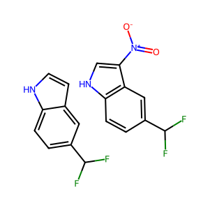 FC(F)c1ccc2[nH]ccc2c1.O=[N+]([O-])c1c[nH]c2ccc(C(F)F)cc12